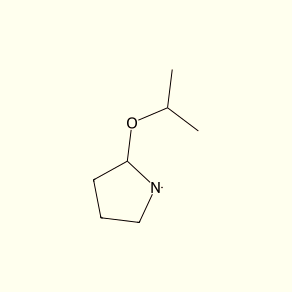 CC(C)OC1CCC[N]1